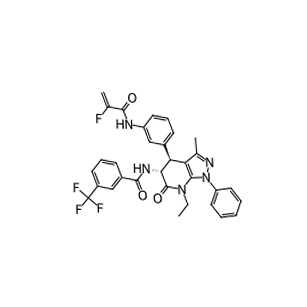 C=C(F)C(=O)Nc1cccc([C@H]2c3c(C)nn(-c4ccccc4)c3N(CC)C(=O)[C@@H]2NC(=O)c2cccc(C(F)(F)F)c2)c1